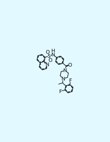 CC(c1c(F)cccc1F)N1CCN(C(=O)c2ccc(NS(=O)(=O)c3cccc4cccnc34)cc2)CC1